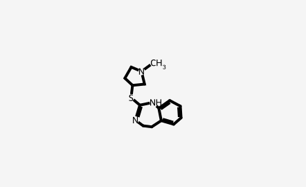 CN1CCC(SC2=NCCc3ccccc3N2)C1